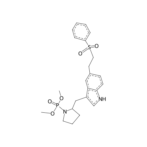 COP(=O)(OC)N1CCCC1Cc1c[nH]c2ccc(CCS(=O)(=O)c3ccccc3)cc12